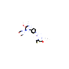 CCOc1c(C(C)=O)nc(-c2ccc(NC(=O)Nc3ccsc3C(=O)OC)cc2)nc1N1CCOCC1